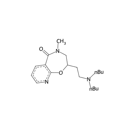 CCCCN(CCCC)CCC1CN(C)C(=O)c2cccnc2O1